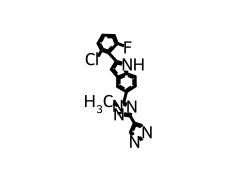 Cn1nc(-c2cncnc2)nc1-c1ccc2[nH]c(-c3c(F)cccc3Cl)cc2c1